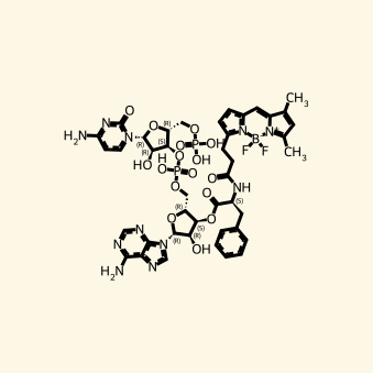 CC1=CC(C)=[N+]2C1=Cc1ccc(CCC(=O)N[C@@H](Cc3ccccc3)C(=O)O[C@H]3[C@@H](O)[C@H](n4cnc5c(N)ncnc54)O[C@@H]3COP(=O)(O)O[C@H]3[C@@H](O)[C@H](n4ccc(N)nc4=O)O[C@@H]3COP(=O)(O)O)n1[B-]2(F)F